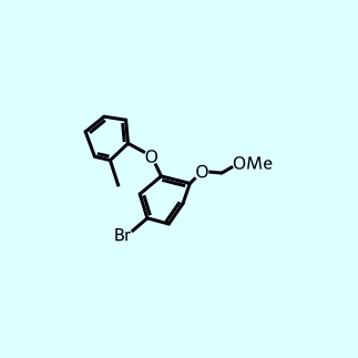 COCOc1ccc(Br)cc1Oc1ccccc1C